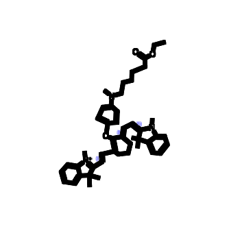 CCOC(=O)CCCCCN(C)c1ccc(OC2=C(/C=C/C3=[N+](C)c4ccccc4C3(C)C)CCC/C2=C\C=C2\N(C)c3ccccc3C2(C)C)cc1